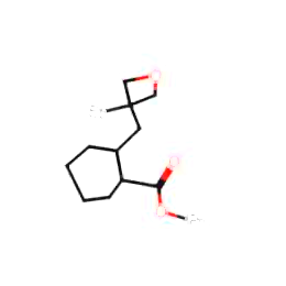 CCC1(CC2CCCCC2C(=O)OC(C)C)COC1